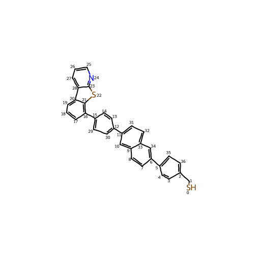 SCc1ccc(-c2ccc3cc(-c4ccc(-c5cccc6c5sc5ncccc56)cc4)ccc3c2)cc1